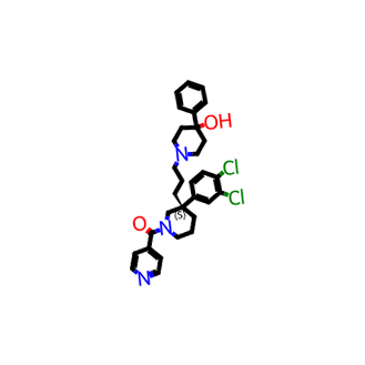 O=C(c1ccncc1)N1CCC[C@@](CCCN2CCC(O)(c3ccccc3)CC2)(c2ccc(Cl)c(Cl)c2)C1